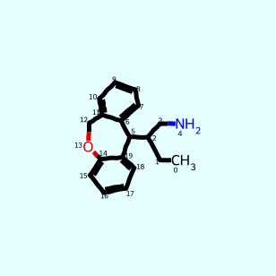 CCC(CN)C1c2ccccc2COc2ccccc21